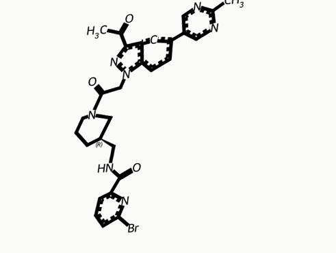 CC(=O)c1nn(CC(=O)N2CCC[C@H](CNC(=O)c3cccc(Br)n3)C2)c2ccc(-c3cnc(C)nc3)cc12